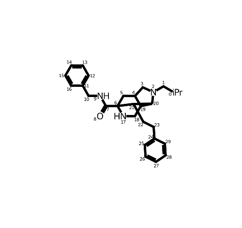 CC(C)CN1CC2CC3(C(=O)NCc4ccccc4)NCC2C1C3CCc1ccccc1